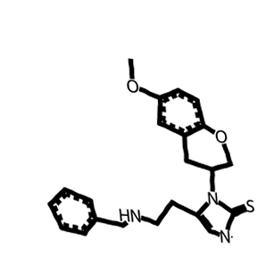 COc1ccc2c(c1)CC(N1C(=S)[N]C=C1CCNCc1ccccc1)CO2